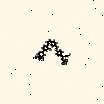 CC#CC(CC(=O)O)c1ccc(OCc2ccc3scc(-c4ccc(C5=CCS(O)(O)CC5)cc4C)c3c2)cc1